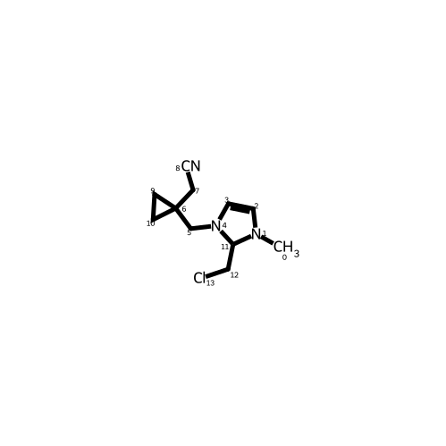 CN1C=CN(CC2(CC#N)CC2)C1CCl